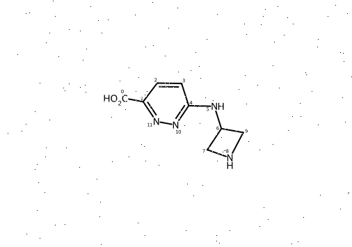 O=C(O)c1ccc(NC2CNC2)nn1